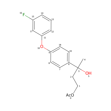 CC(=O)OCCC(C)(O)c1ccc(Oc2cccc(F)c2)cc1